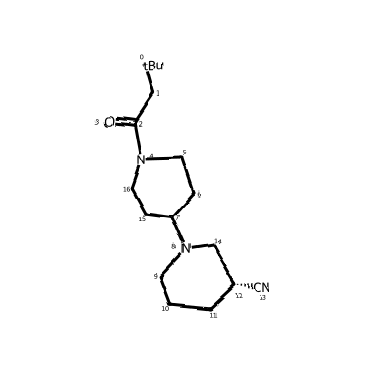 CC(C)(C)CC(=O)N1CCC(N2CCC[C@@H](C#N)C2)CC1